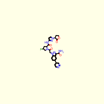 NC(=O)c1nn(CC(=O)N2CC(F)CC2C(=O)Nc2ccn(C3CCOC3=O)n2)c2ccc(-c3ccnnc3)cc12